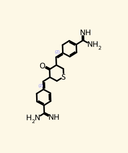 N=C(N)C1=CC/C(=C/C2CSCC(/C=C3\C=CC(C(=N)N)=CC3)C2=O)C=C1